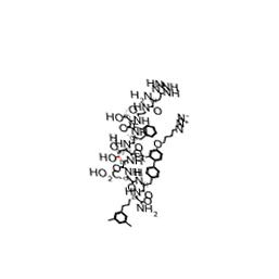 CCc1cc(OCCCCN=[N+]=[N-])ccc1-c1ccc(C[C@H](NC(=O)[C@H](CC(=O)O)NC(=O)[C@H](CO)NC(=O)[C@@H](NC(=O)[C@](C)(Cc2ccccc2F)NC(=O)[C@@H](NC(=O)CNC(=O)[C@@H](N)CC2=NNNN2)[C@@H](C)O)[C@@H](C)O)C(=O)N[C@@H](CCCc2cc(C)cc(C)c2)C(N)=O)cc1